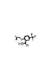 C=C(C)CSc1ccc(C(F)(F)F)cc1C(=O)O